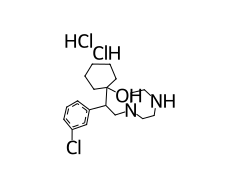 Cl.Cl.OC1(C(CN2CCNCC2)c2cccc(Cl)c2)CCCCC1